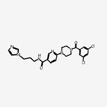 O=C(NCCCn1ccnc1)c1ccc(N2CCN(C(=O)c3cc(Cl)cc(Cl)c3)CC2)nc1